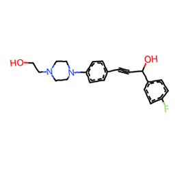 OCCN1CCN(c2ccc(C#CC(O)c3ccc(F)cc3)cc2)CC1